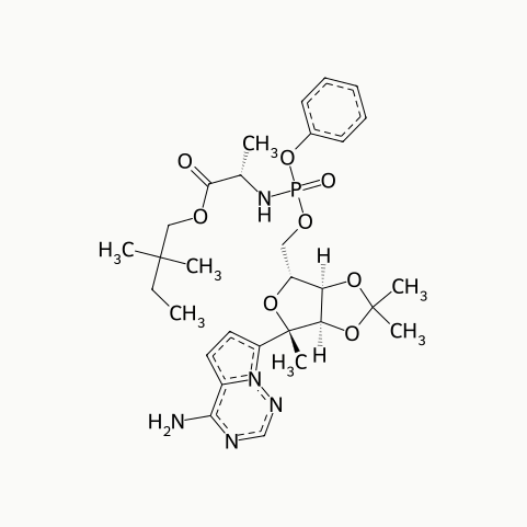 CCC(C)(C)COC(=O)[C@H](C)NP(=O)(OC[C@H]1O[C@@](C)(c2ccc3c(N)ncnn23)[C@@H]2OC(C)(C)O[C@@H]21)Oc1ccccc1